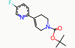 CC(C)(C)OC(=O)N1CC=C(c2ccc(F)cn2)CC1